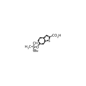 CC(C)(C)[Si](C)(C)Oc1ccc2cc(C(=O)O)sc2c1